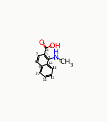 CNc1c(C(=O)O)ccc2ccccc12